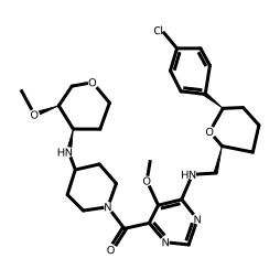 COc1c(NC[C@@H]2CCC[C@H](c3ccc(Cl)cc3)O2)ncnc1C(=O)N1CCC(N[C@@H]2CCOC[C@@H]2OC)CC1